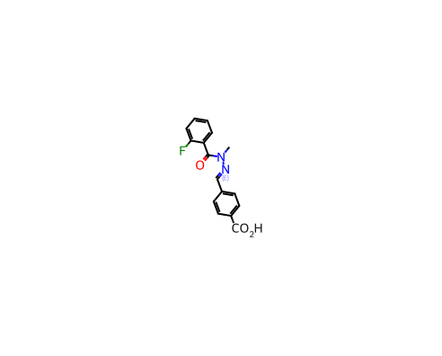 CN(/N=C/c1ccc(C(=O)O)cc1)C(=O)c1ccccc1F